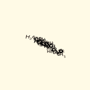 CC(OCC1O[C@@H](O[C@H]2CC[C@@]3(C)C(=CC[C@H]4[C@@H]5C[C@@H]6O[C@]7(CC[C@@H](C)CO7)[C@@H](C)[C@@H]6[C@@]5(C)CC[C@@H]43)C2)[C@@H](O)C(O)[C@@H]1C)c1ccccc1